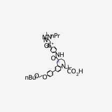 CCCCOCCOc1ccc(-c2ccc3c(c2)/C=C(/C(=O)Nc2ccc([S@@+]([O-])Cc4nnc(C)n4CCC)cc2)CCCN3CC(C)(C)C(=O)O)cc1